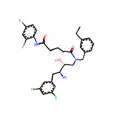 CCc1cccc(CN(C[C@@H](O)[C@@H](N)Cc2cc(F)cc(F)c2)C(=O)CCCC(=O)Nc2ccc(F)cc2F)c1